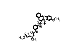 COc1ccc(Cl)c(Nc2nc3ccccc3nc2NS(=O)(=O)c2cccc(NC(=O)CN(C)CCN(C)C)c2)c1